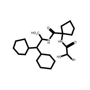 CC(C)C(S)C(=O)NC1(C(=O)NC(C(=O)O)C(C2CCCCC2)C2CCCCC2)CCCC1